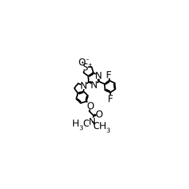 CN(C)C(=O)COc1ccc2c(c1)N(c1nc(-c3cc(F)ccc3F)nc3c1C[S+]([O-])C3)CC2